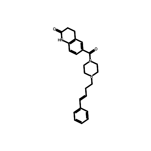 O=C1CCc2cc(C(=O)N3CCN(CCC=Cc4ccccc4)CC3)ccc2N1